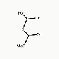 COC(O)OC(O)O